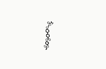 C=CC(=O)Oc1ccc(OC(=O)c2ccc(-c3ccc(OCCOC(=O)C(=C)F)cc3)cc2)cc1